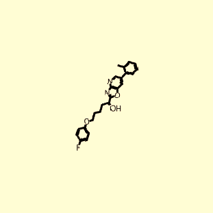 Cc1ccccc1-c1cnc2nc(C(O)CCCCOc3ccc(F)cc3)oc2c1